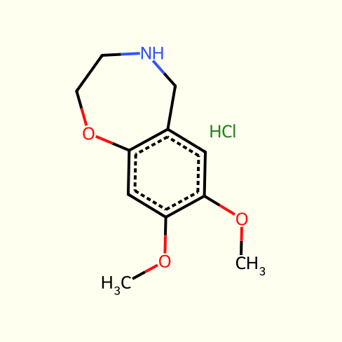 COc1cc2c(cc1OC)OCCNC2.Cl